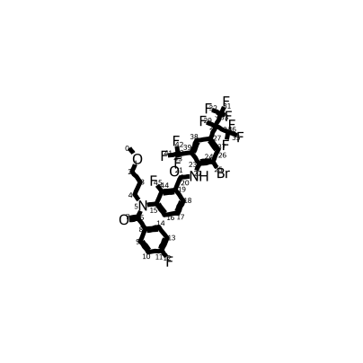 COCCCN(C(=O)c1ccc(F)cc1)c1cccc(C(=O)Nc2c(Br)cc(C(F)(C(F)(F)F)C(F)(F)F)cc2C(F)(F)F)c1F